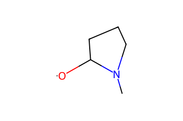 CN1CCCC1[O]